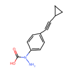 NN(C(=O)O)c1ccc(C#CC2CC2)cc1